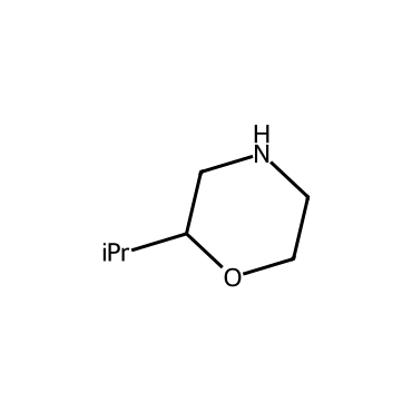 CC(C)C1CNCCO1